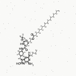 CCCCCCCCCCCCCCCCCC(=O)OCCSC[C@H](NC(=O)OC(C)(C)C)C(=O)Nc1ccc(Cn2c(O)nc3c(N)nc(NCCCC)nc32)cc1